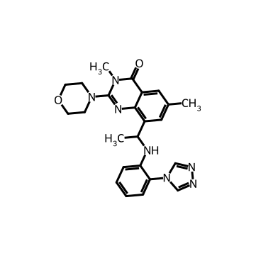 Cc1cc(C(C)Nc2ccccc2-n2cnnc2)c2nc(N3CCOCC3)n(C)c(=O)c2c1